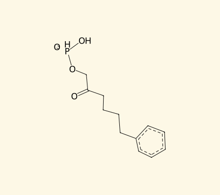 O=C(CCCCc1ccccc1)CO[PH](=O)O